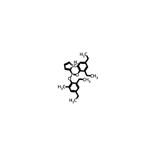 CCc1cc(C)c(OP(Oc2c(C)cc(CC)cc2CC)c2cccs2)c(CC)c1